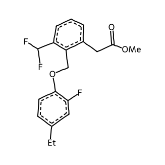 CCc1ccc(OCc2c(CC(=O)OC)cccc2C(F)F)c(F)c1